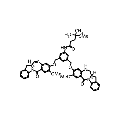 COc1cc2c(cc1OCc1cc(COc3cc4c(cc3OC)C(=O)N3c5ccccc5C[C@H]3CN4)cc(NC(=O)CCC(C)(C)SC)c1)N=C[C@@H]1Cc3ccccc3N1C2=O